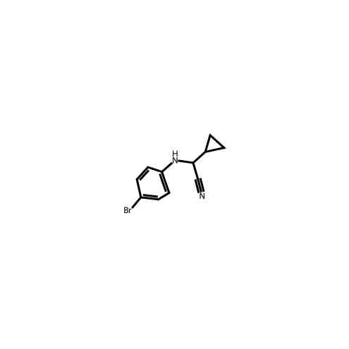 N#CC(Nc1ccc(Br)cc1)C1CC1